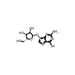 Nc1nc(S)c2ncn(O[C@H]3O[C@H](CO)[C@@H](O)[C@H]3O)c2n1